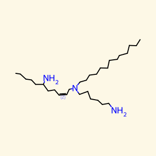 CCCCCCCCCCCCCN(C/C=C\CCC(N)CCCCC)CCCCCCN